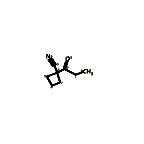 CCC(=O)C1(C#N)CCC1